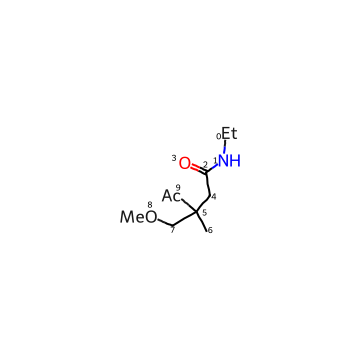 CCNC(=O)CC(C)(COC)C(C)=O